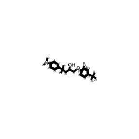 CN(C)c1ccc(C(C)(C)CC(O)COc2ccc(C(C)(C)C)cc2F)cc1